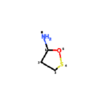 NC1CCSO1